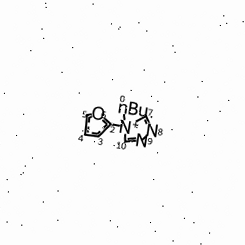 CCCC[N+]1(c2ccco2)[C]=NN=C1